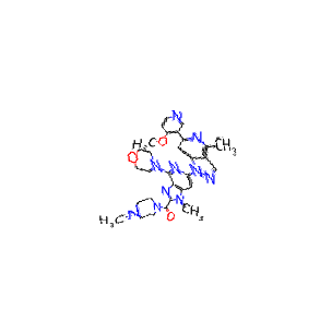 COc1ccncc1-c1cc2c(cnn2-c2cc3c(nc(C(=O)N4CCN(C)CC4)n3C)c(N3CCOCC3)n2)c(C)n1